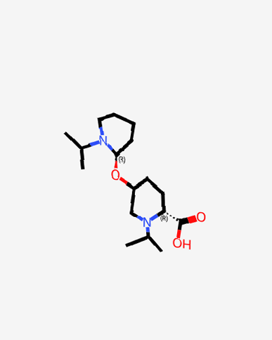 CC(C)N1CC(O[C@@H]2CCCCN2C(C)C)CC[C@@H]1C(=O)O